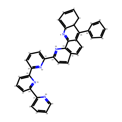 C1=CCC2C(=C1)N=c1c(ccc3ccc(-c4cccc(-c5cccc(-c6ccccn6)n5)n4)nc13)=C2c1ccccc1